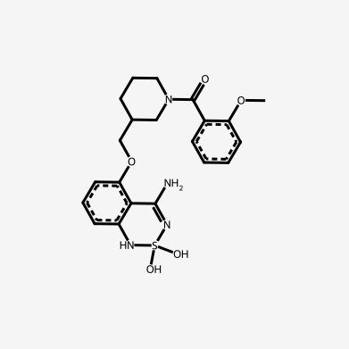 COc1ccccc1C(=O)N1CCCC(COc2cccc3c2C(N)=NS(O)(O)N3)C1